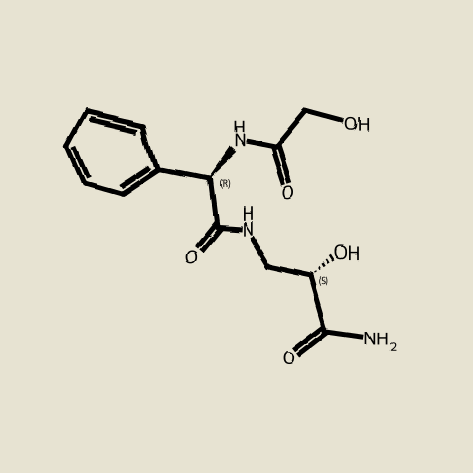 NC(=O)[C@@H](O)CNC(=O)[C@H](NC(=O)CO)c1ccccc1